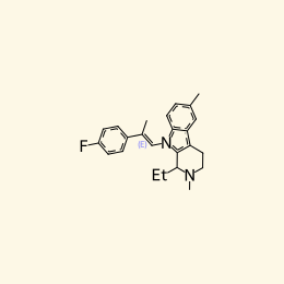 CCC1c2c(c3cc(C)ccc3n2/C=C(\C)c2ccc(F)cc2)CCN1C